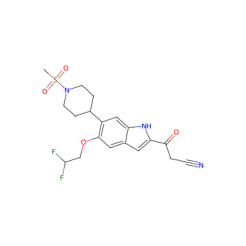 CS(=O)(=O)N1CCC(c2cc3[nH]c(C(=O)CC#N)cc3cc2OCC(F)F)CC1